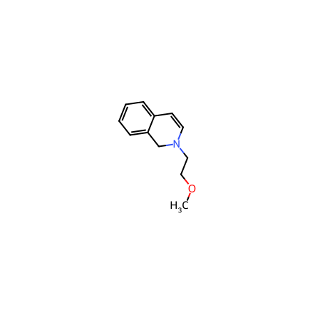 COCCN1C=Cc2ccccc2C1